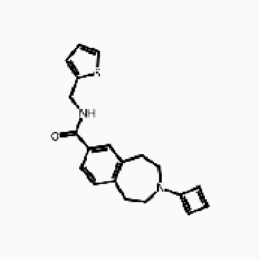 O=C(NCc1cccs1)c1ccc2c(c1)CCN(C1=CC=C1)CC2